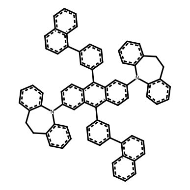 c1cc(-c2cccc3ccccc23)cc(-c2c3ccc(N4c5ccccc5CCc5ccccc54)cc3c(-c3cccc(-c4cccc5ccccc45)c3)c3ccc(N4c5ccccc5CCc5ccccc54)cc23)c1